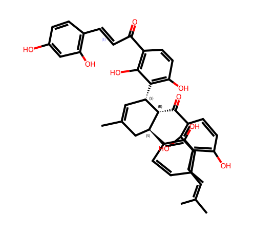 CC(C)=CCc1c(O)ccc(C(=O)[C@H]2[C@@H](c3c(O)ccc(C(=O)/C=C/c4ccc(O)cc4O)c3O)C=C(C)C[C@@H]2c2ccc(C)cc2O)c1O